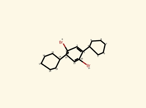 Brc1cc(C2CCCCC2)c(Br)cc1C1CCCCC1